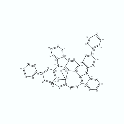 CC(C)/C=C1/C=C\c2c(n(-c3ccc(-c4ccccc4)cc3)c3ccccc23)-c2ccc3c4ccccc4n(-c4cccc(-c5ccccc5)c4)c3c2C1(C)C